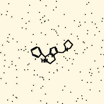 c1ccc(C2NCCn3c(CN4CCCC4)ccc32)cc1